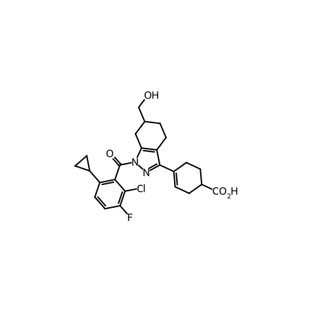 O=C(O)C1CC=C(c2nn(C(=O)c3c(C4CC4)ccc(F)c3Cl)c3c2CCC(CO)C3)CC1